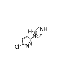 Clc1ccc(N2CC3C[C@H]2CN3)nn1